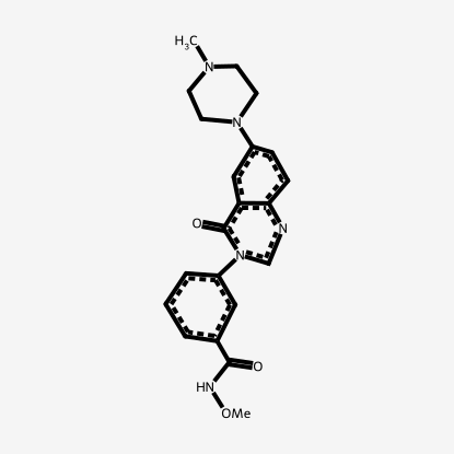 CONC(=O)c1cccc(-n2cnc3ccc(N4CCN(C)CC4)cc3c2=O)c1